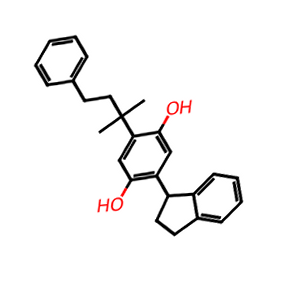 CC(C)(CCc1ccccc1)c1cc(O)c(C2CCc3ccccc32)cc1O